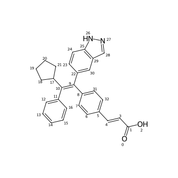 O=C(O)/C=C/c1ccc(/C(=C(\c2ccccc2)C2CCCC2)c2ccc3[nH]ncc3c2)cc1